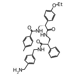 CCOc1ccc([C@@H](CNC(=O)c2ccc(C)cc2)C(=O)NC[C@H](C(=O)NCc2ccc(CN)cc2)c2ccccc2)cc1